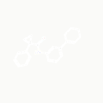 O=C(Nc1cccc(C2=CCCCC2)c1)C1(c2ccccc2)CC1